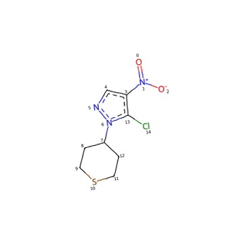 O=[N+]([O-])c1cnn(C2CCSCC2)c1Cl